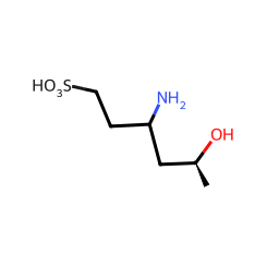 C[C@H](O)CC(N)CCS(=O)(=O)O